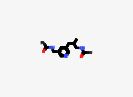 CC(CNC(=O)C(C)C)Cc1cncc(CNC(=O)C(C)C)c1